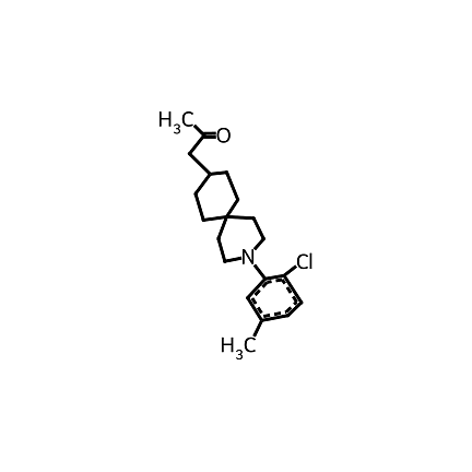 CC(=O)CC1CCC2(CC1)CCN(c1cc(C)ccc1Cl)CC2